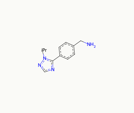 CC(C)n1ncnc1-c1ccc(CN)cc1